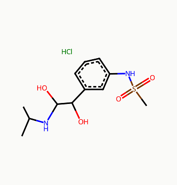 CC(C)NC(O)C(O)c1cccc(NS(C)(=O)=O)c1.Cl